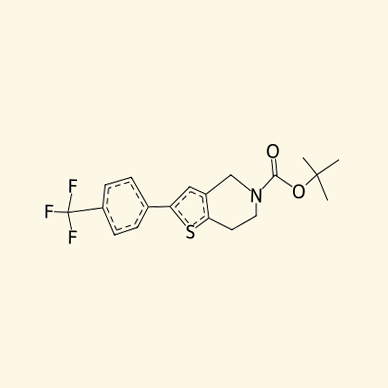 CC(C)(C)OC(=O)N1CCc2sc(-c3ccc(C(F)(F)F)cc3)cc2C1